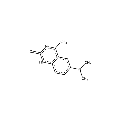 Cc1nc(=O)[nH]c2ccc(N(C)C)cc12